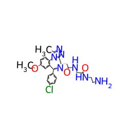 COc1ccc2c(c1)C(c1ccc(Cl)cc1)=N[C@@H](CC(=O)NCC(=O)NCCN)c1nnc(C)n1-2